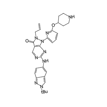 C=CCn1c(=O)c2cnc(Nc3ccc4nn(C(C)(C)C)cc4c3)nc2n1-c1cccc(OC2CCNCC2)n1